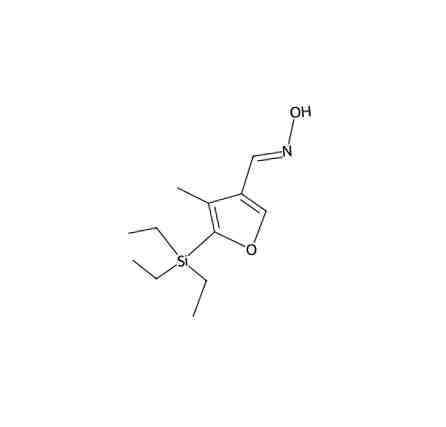 CC[Si](CC)(CC)c1occ(C=NO)c1C